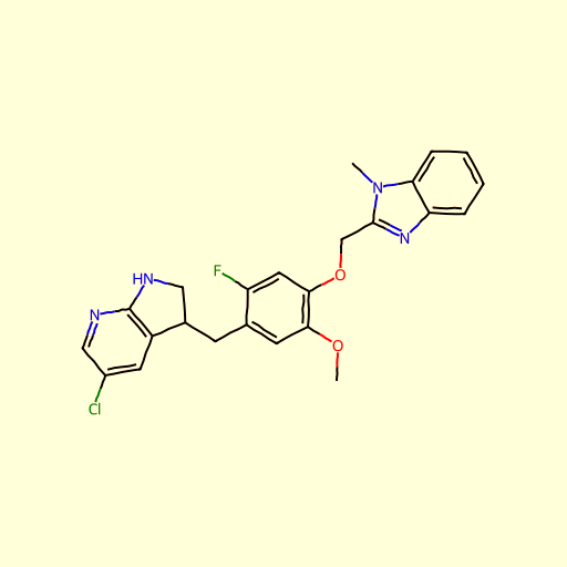 COc1cc(CC2CNc3ncc(Cl)cc32)c(F)cc1OCc1nc2ccccc2n1C